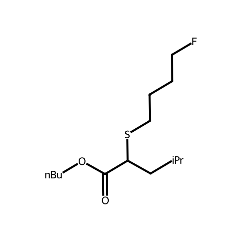 CCCCOC(=O)C(CC(C)C)SCCCCF